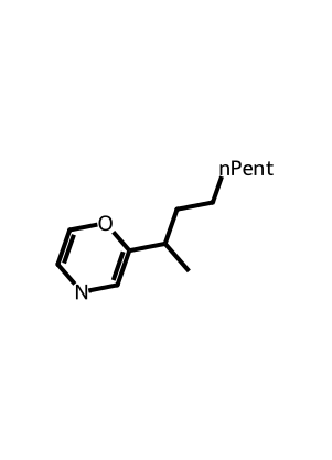 CCCCCCCC(C)C1=C[N]C=CO1